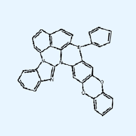 c1ccc(B2c3cc4c(cc3-n3c5c2ccc2cccc(c25)n2c5ccccc5nc32)Oc2ccccc2O4)cc1